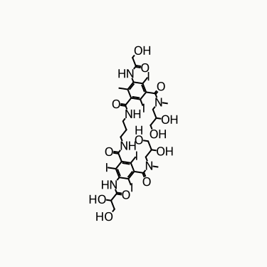 Cc1c(NC(=O)CO)c(I)c(C(=O)N(C)CC(O)CO)c(I)c1C(=O)NCCCNC(=O)c1c(I)c(NC(=O)C(O)CO)c(I)c(C(=O)N(C)CC(O)CO)c1I